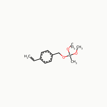 C=Cc1ccc(CO[Si](C)(OC)OC)cc1